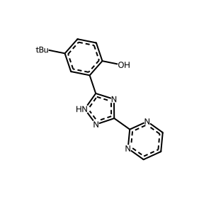 CC(C)(C)c1ccc(O)c(-c2nc(-c3ncccn3)n[nH]2)c1